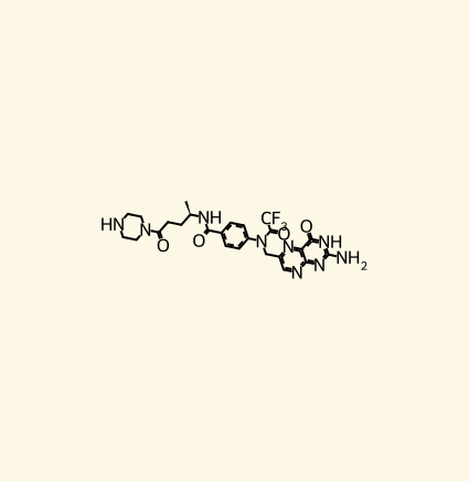 C[C@H](CCC(=O)N1CCNCC1)NC(=O)c1ccc(N(Cc2cnc3nc(N)[nH]c(=O)c3n2)C(=O)C(F)(F)F)cc1